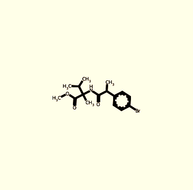 COC(=O)C(C)(NC(=O)C(C)c1ccc(Br)cc1)C(C)C